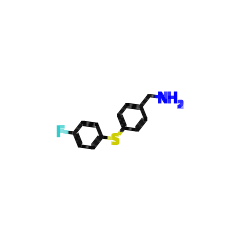 NCc1ccc(Sc2ccc(F)cc2)cc1